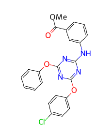 COC(=O)c1cccc(Nc2nc(Oc3ccccc3)nc(Oc3ccc(Cl)cc3)n2)c1